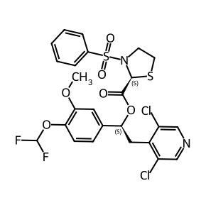 COc1cc([C@H](Cc2c(Cl)cncc2Cl)OC(=O)[C@@H]2SCCN2S(=O)(=O)c2ccccc2)ccc1OC(F)F